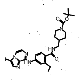 CCc1cc(Nc2nccn3c(I)cnc23)ccc1C(=O)NCC1CCN(C(=O)OC(C)(C)C)CC1